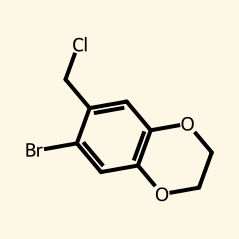 ClCc1cc2c(cc1Br)OCCO2